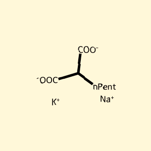 CCCCCC(C(=O)[O-])C(=O)[O-].[K+].[Na+]